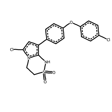 O=S1(=O)CCn2c(Cl)cc(-c3ccc(Oc4ccc(Cl)cc4)cc3)c2N1